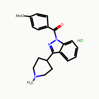 COc1ccc(C(=O)n2nc(C3CCN(C)CC3)c3ccccc32)cc1.Cl